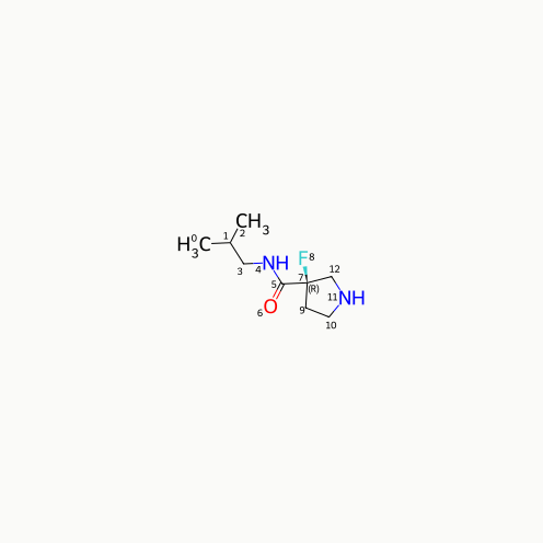 CC(C)CNC(=O)[C@@]1(F)CCNC1